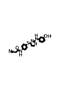 N#CCC(=O)Nc1ccc(Sc2ccnc(Nc3cccc(O)c3)n2)cc1